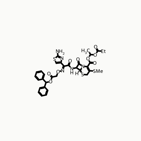 CCC(=O)OC(C)OC(=O)C1=C(SC)CS[C@H]2C(NC(=O)C(=NOCC(=O)OC(c3ccccc3)c3ccccc3)c3csc(N)n3)C(=O)N12